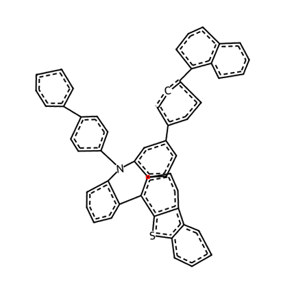 c1ccc(-c2ccc(N(c3cccc(-c4ccc(-c5cccc6ccccc56)cc4)c3)c3ccccc3-c3cccc4c3sc3ccccc34)cc2)cc1